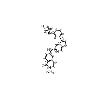 Cn1cnc2cc(Nc3ncc4scc(-c5cccc(NS(C)(=O)=O)c5)c4n3)ccc2c1=O